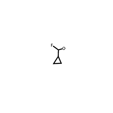 [O]C(F)C1CC1